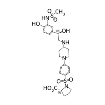 CS(=O)(=O)Nc1cc([C@@H](O)CNC2CCN(c3ccc(S(=O)(=O)N4CCC[C@@H]4C(=O)O)cc3)CC2)ccc1O